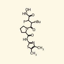 CCCCC(C(=O)N1CCCC1C(=O)Nc1nc(C)c(C)s1)C(F)C(=O)NO